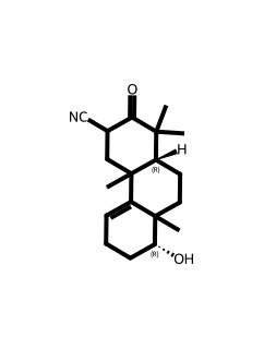 CC1(C)C(=O)C(C#N)CC2(C)C3=CCC[C@@H](O)C3(C)CC[C@@H]12